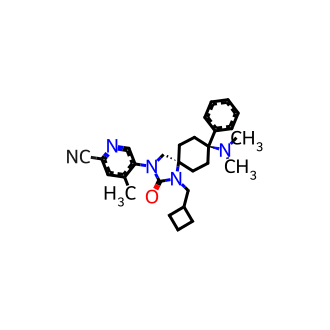 Cc1cc(C#N)ncc1N1C[C@]2(CC[C@](c3ccccc3)(N(C)C)CC2)N(CC2CCC2)C1=O